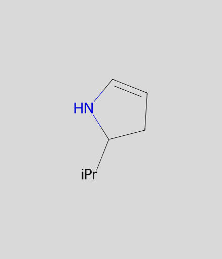 CC(C)C1CC=CN1